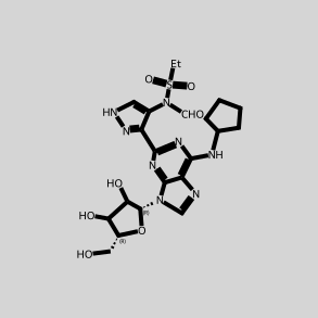 CCS(=O)(=O)N(C=O)c1c[nH]nc1-c1nc(NC2CCCC2)c2ncn([C@@H]3O[C@H](CO)C(O)C3O)c2n1